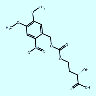 COc1cc(COC(=O)OCC[C@H](O)C(=O)O)c([N+](=O)[O-])cc1OC